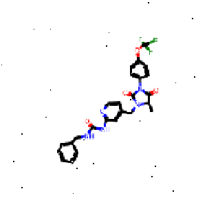 CC1C(=O)N(c2ccc(OC(F)(F)F)cc2)C(=O)N1Cc1ccnc(NC(=O)NCc2ccccc2)c1